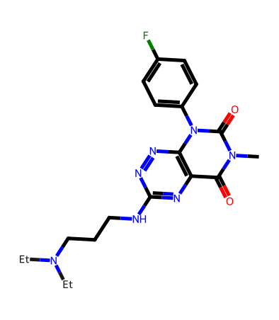 CCN(CC)CCCNc1nnc2c(n1)c(=O)n(C)c(=O)n2-c1ccc(F)cc1